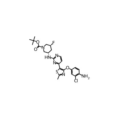 Cc1nc(Oc2ccc(N)c(Cl)c2)c(-c2ccnc(N[C@H]3C[C@H](F)CN(C(=O)OC(C)(C)C)C3)n2)s1